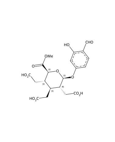 COC(=O)[C@H]1O[C@@H](Oc2ccc(C=O)c(O)c2)[C@H](CC(=O)O)[C@@H](CC(=O)O)[C@@H]1CC(=O)O